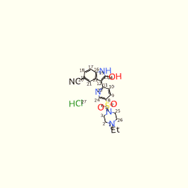 CCN1CCN(S(=O)(=O)c2ccc(-c3c(O)[nH]c4ccc(C#N)cc34)nc2)CC1.Cl